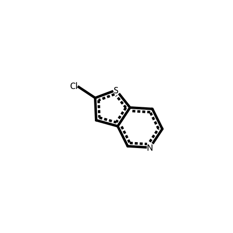 Clc1cc2cnccc2s1